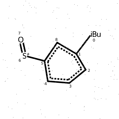 CCC(C)c1cccc([S+]=O)c1